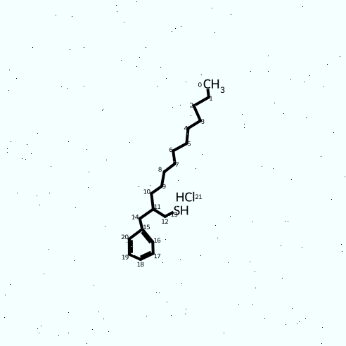 CCCCCCCCCCCC(CS)Cc1ccccc1.Cl